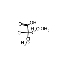 O.O.O.O=C(O)C(Cl)(Cl)Cl